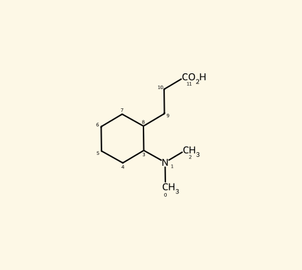 CN(C)C1CCCCC1CCC(=O)O